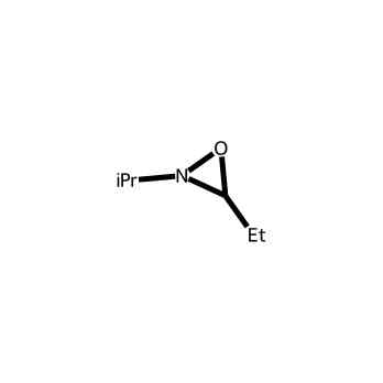 CCC1ON1C(C)C